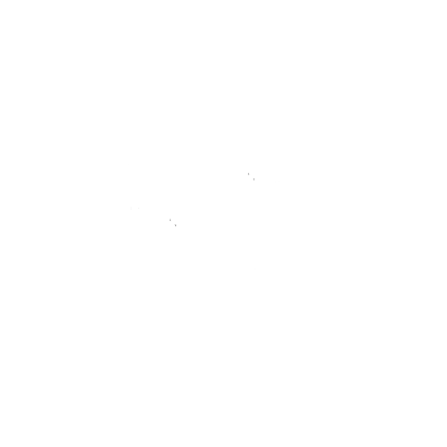 COC(=O)c1cc(NC(=O)Oc2ccccc2)cc(NC(=O)Oc2ccccc2)c1